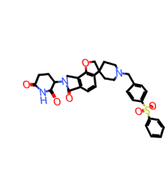 O=C1CCC(N2Cc3c(ccc4c3OCC43CCN(Cc4ccc(S(=O)(=O)c5ccccc5)cc4)CC3)C2=O)C(=O)N1